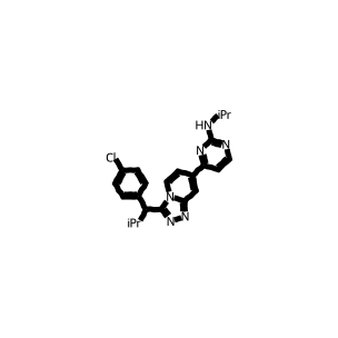 CC(C)Nc1nccc(-c2ccn3c(C(c4ccc(Cl)cc4)C(C)C)nnc3c2)n1